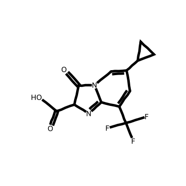 O=C(O)C1N=C2C(C(F)(F)F)=CC(C3CC3)=CN2C1=O